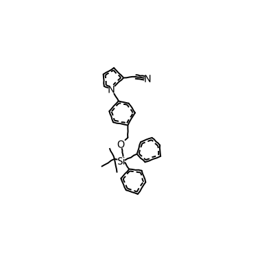 CC(C)(C)[Si](OCc1ccc(-n2cccc2C#N)cc1)(c1ccccc1)c1ccccc1